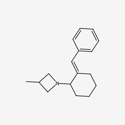 CC1CN(C2CCCCC2=Cc2ccccc2)C1